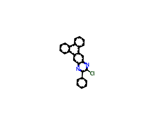 Clc1nc2cc3c4ccccc4c4ccccc4c3cc2nc1-c1ccccc1